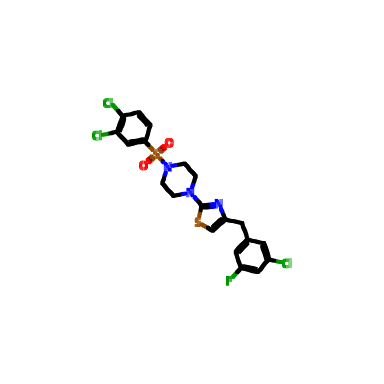 O=S(=O)(c1ccc(Cl)c(Cl)c1)N1CCN(c2nc(Cc3cc(F)cc(Cl)c3)cs2)CC1